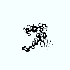 Cc1ncsc1-c1ccc(C(C)NC(=O)C2CCCN2C(=O)C(c2cc(OCC3CCC4CCCN43)no2)C(C)C)cc1